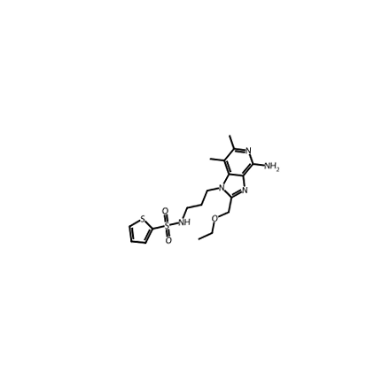 CCOCc1nc2c(N)nc(C)c(C)c2n1CCCNS(=O)(=O)c1cccs1